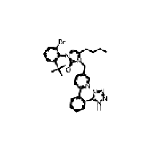 CCCCc1cn(-c2c(Br)cccc2C(C)(C)C)c(=O)n1Cc1ccc(-c2ccccc2-c2nnn[nH]2)nc1